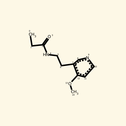 CCC(=O)NCCc1cnccc1OC